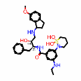 CCNc1cc(C(=O)N[C@@H](Cc2ccccc2)[C@@H](O)CNC2CCc3ccc(OC)cc32)cc(N2CCCCS2(O)O)c1